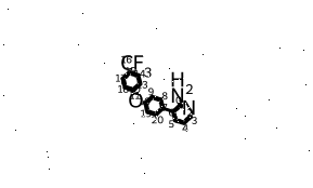 Nc1ncccc1-c1ccc(Oc2ccc(C(F)(F)F)cc2)cc1